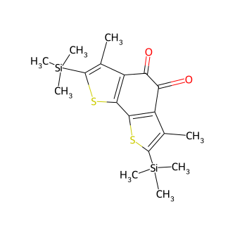 Cc1c([Si](C)(C)C)sc2c1C(=O)C(=O)c1c-2sc([Si](C)(C)C)c1C